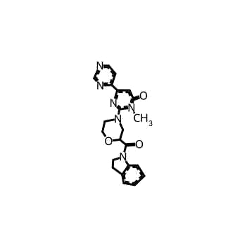 Cn1c(N2CCOC(C(=O)N3CCc4ccccc43)C2)nc(-c2ccncn2)cc1=O